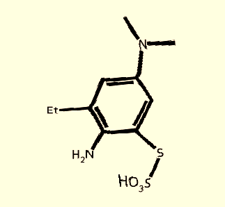 CCc1cc(N(C)C)cc(SS(=O)(=O)O)c1N